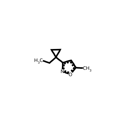 CCC1(c2cc(C)on2)CC1